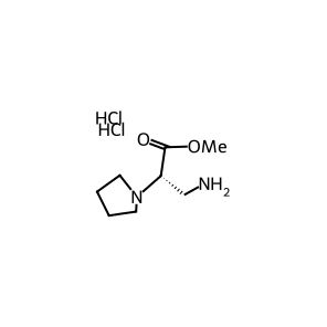 COC(=O)[C@H](CN)N1CCCC1.Cl.Cl